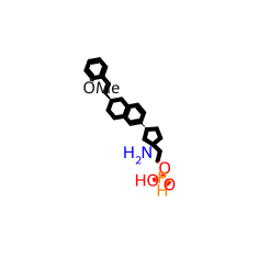 COc1ccccc1CC[C@@H]1CCc2cc([C@@H]3CC[C@](N)(CCO[PH](=O)O)C3)ccc2C1